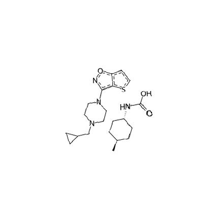 C[C@H]1CC[C@H](NC(=O)O)CC1.c1cc2onc(N3CCN(CC4CC4)CC3)c2s1